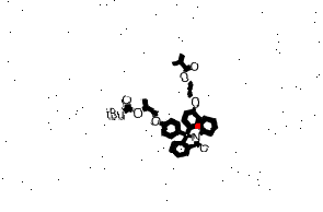 C=C(C)C(=O)OCCOc1ccc(C2(c3ccc(OCC(C)OC(=O)C(C)(C)C)cc3)c3ccccc3C(=O)N2c2ccccc2)cc1